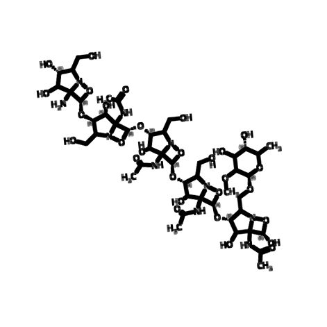 COC1C(O)[C@H](O)C(C)O[C@H]1OCC1[C@@H](O[C@@H]2ON3C(CO)[C@@H](O[C@@H]4ON5C(CO)[C@@H](O[C@@H]6ON7C(CO)[C@@H](O[C@@H]8ON9C(CO)[C@@H](O)C(O)C89N)[C@@H](O)C67NC(C)=O)C(O)C45NC(C)=O)C(O)C23NC(C)=O)C(O)C2(NC(C)=O)[C@H](O)ON12